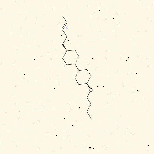 C/C=C/CC[C@H]1CC[C@H]([C@H]2CC[C@H](OCCCC)CC2)CC1